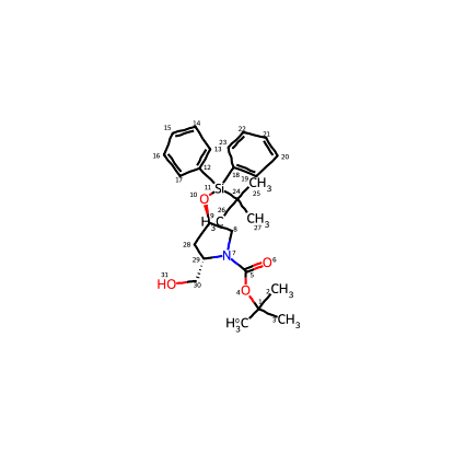 CC(C)(C)OC(=O)N1C[C@H](O[Si](c2ccccc2)(c2ccccc2)C(C)(C)C)C[C@H]1CO